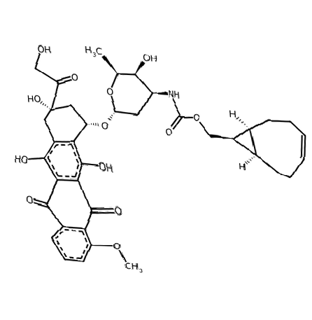 COc1cccc2c1C(=O)c1c(O)c3c(c(O)c1C2=O)C[C@@](O)(C(=O)CO)C[C@@H]3O[C@H]1C[C@H](NC(=O)OC[C@@H]2[C@@H]3CC/C=C\CC[C@@H]32)[C@H](O)[C@H](C)O1